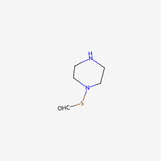 O=CSN1CCNCC1